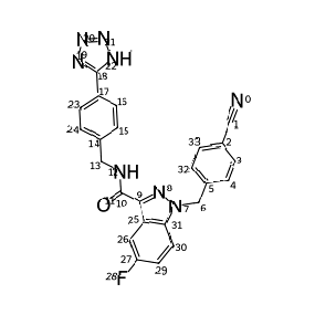 N#Cc1ccc(Cn2nc(C(=O)NCc3ccc(-c4nnn[nH]4)cc3)c3cc(F)ccc32)cc1